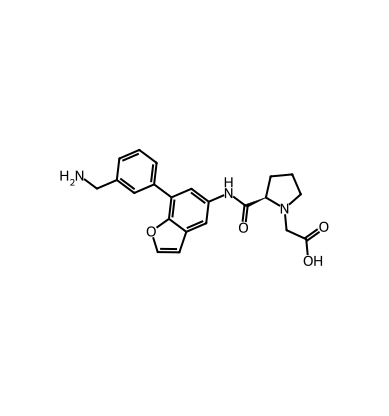 NCc1cccc(-c2cc(NC(=O)[C@H]3CCCN3CC(=O)O)cc3ccoc23)c1